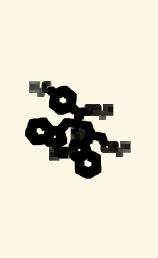 Cc1ccc(N([C@](N)(Cc2c[nH]c3ccccc23)CC(CC(=O)O)c2c[nH]c3ccccc23)S(=O)(=O)O)cc1